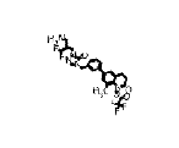 Cc1cc(-c2cccc(Cn3cnn(CC(CN)=C(F)F)c3=O)c2)cc2c1N(OC(=O)C(F)(F)F)C(=O)CC2